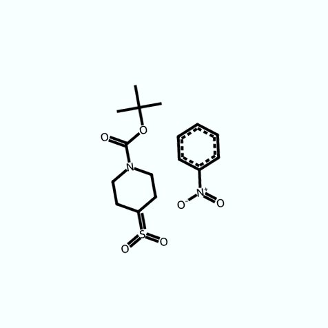 CC(C)(C)OC(=O)N1CCC(=S(=O)=O)CC1.O=[N+]([O-])c1ccccc1